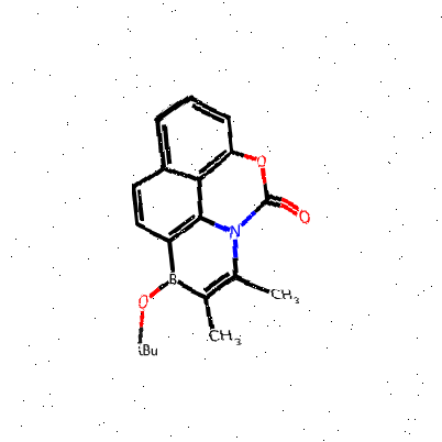 CC1=C(C)N2C(=O)Oc3cccc4ccc(c2c34)B1OC(C)(C)C